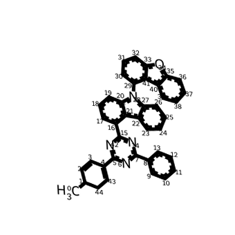 CC1C=CC(c2nc(-c3ccccc3)nc(-c3cccc4c3c3ccccc3n4-c3cccc4oc5ccccc5c34)n2)=CC1